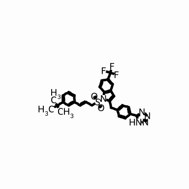 CC(C)(C)c1cccc(C=CCS(=O)(=O)n2c(Cc3ccc(-c4nnn[nH]4)cc3)cc3cc(C(F)(F)F)ccc32)c1